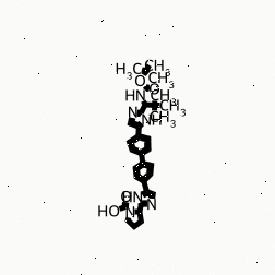 CC(C)(C)OC(=O)NC(c1ncc(-c2ccc(-c3ccc(-c4cnc(C5CCCN5C(=O)O)[nH]4)cc3)cc2)[nH]1)C(C)(C)C